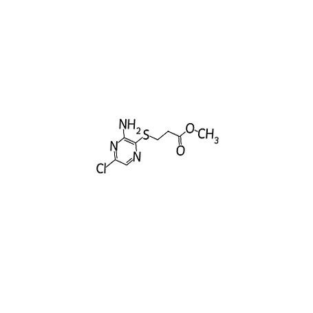 COC(=O)CCSc1ncc(Cl)nc1N